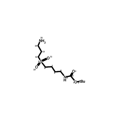 CC(C)(C)OC(=O)NCCCCS(=O)(=O)CCCN